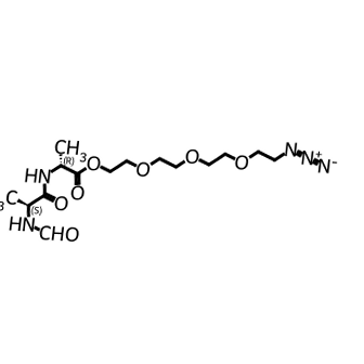 C[C@H](NC=O)C(=O)N[C@H](C)C(=O)OCCOCCOCCOCCN=[N+]=[N-]